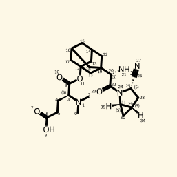 CN(C)[C@@H](CCC(=O)O)C(=O)OC12CC3CC(C1)CC([C@H](N)C(=O)N1[C@H](C#N)C[C@@H]4C[C@@H]41)(C3)C2